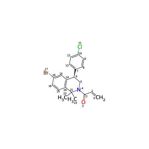 C=CC(=O)N1C[C@H](c2ccc(Cl)cc2)c2cc(Br)ccc2C1(C)C